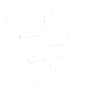 C=CC(=C(F)C(F)(F)F)C(F)C(F)(F)F